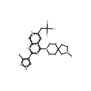 Cc1n[nH]cc1-c1nc(N2CCC3(CCN(C)C3)CC2)c2cc(CC(F)(F)F)ncc2n1